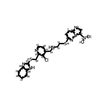 O=[N+]([O-])c1cnc2ccc(SCCNCc3ccnc(CSc4nc5ccccc5[nH]4)c3Cl)nn12